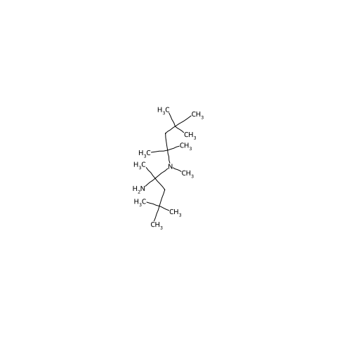 CN(C(C)(C)CC(C)(C)C)C(C)(N)CC(C)(C)C